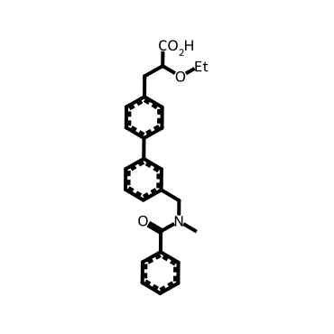 CCOC(Cc1ccc(-c2cccc(CN(C)C(=O)c3ccccc3)c2)cc1)C(=O)O